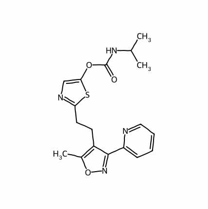 Cc1onc(-c2ccccn2)c1CCc1ncc(OC(=O)NC(C)C)s1